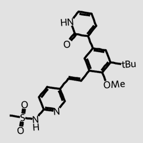 COc1c(/C=C/c2ccc(NS(C)(=O)=O)nc2)cc(-c2ccc[nH]c2=O)cc1C(C)(C)C